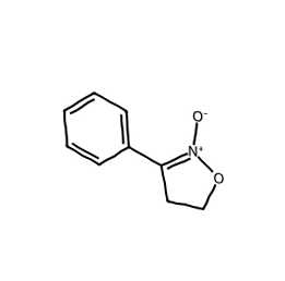 [O-][N+]1=C(c2ccccc2)CCO1